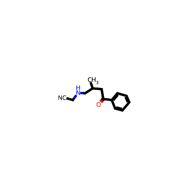 CC(CNCC#N)CC(=O)c1ccccc1